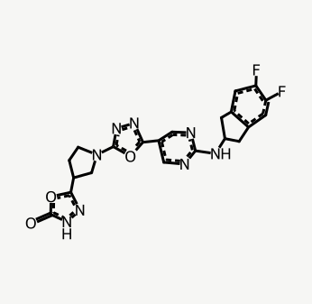 O=c1[nH]nc(C2CCN(c3nnc(-c4cnc(NC5Cc6cc(F)c(F)cc6C5)nc4)o3)C2)o1